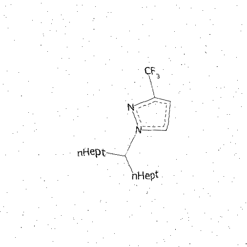 CCCCCCCC(CCCCCCC)n1ccc(C(F)(F)F)n1